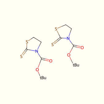 CC(C)(C)OC(=O)N1CCSC1=S.CC(C)(C)OC(=O)N1CCSC1=S